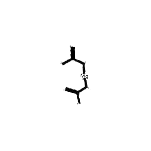 C=C(C)[CH2][Mg][CH2]C(=C)C